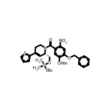 COc1cc(C(=O)N2CCC(c3cccs3)=C[C@H]2CO[Si](C)(C)C(C)(C)C)c([N+](=O)[O-])cc1OCc1ccccc1